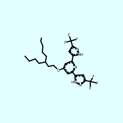 CCCCCC(CCCC)CCOc1cc(-c2cc(C(F)(F)F)n[nH]2)nc(-c2cc(C(F)(F)F)n[nH]2)c1